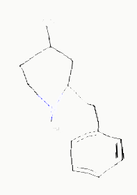 CC(C)(C)N1CCC(C#N)CC1Cc1ccccc1